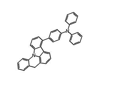 c1ccc(N(c2ccccc2)c2ccc(-c3cccc4c3c3cccc5c3n4-c3ccccc3C5)cc2)cc1